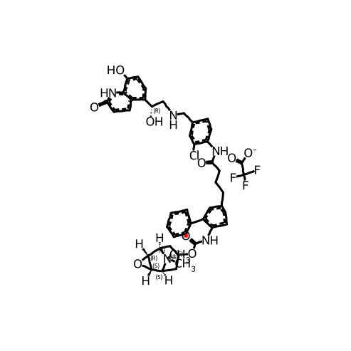 C[N+]1(C)[C@@H]2C[C@@H](OC(=O)Nc3ccc(CCCC(=O)Nc4ccc(CNC[C@H](O)c5ccc(O)c6[nH]c(=O)ccc56)cc4Cl)cc3-c3ccccc3)C[C@H]1[C@@H]1O[C@@H]12.O=C([O-])C(F)(F)F